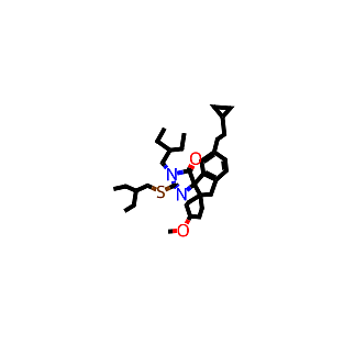 CCC(CC)CSC1=NC2(C(=O)N1CC(CC)CC)c1cc(CCC3CC3)ccc1CC21CCC(OC)CC1